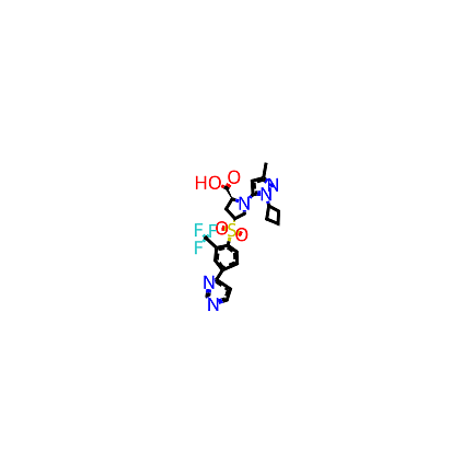 Cc1cc(N2C[C@H](S(=O)(=O)c3ccc(-c4ccncn4)cc3C(F)(F)F)C[C@H]2C(=O)O)n(C2CCC2)n1